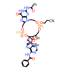 CC(C)C(=O)Nc1nc2c(nc3n2CCOP(=S)(OCCC#N)OC[C@H]2O[C@@H](n4cnc5c(NC(=O)c6ccccc6)ncnc54)[C@H](OP(=O)(S)OC3)C2O[Si](C)(C)C(C)(C)C)c(=O)[nH]1